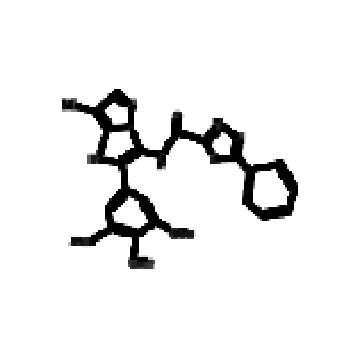 COc1cc(-c2[nH]c3c(C#N)cnn3c2NC(=O)c2nnc(-c3ccccc3)o2)cc(OC)c1OC